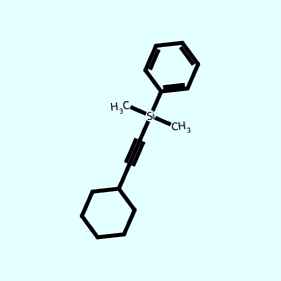 C[Si](C)(C#CC1CCCCC1)c1ccccc1